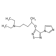 CCN(CC)CCCC(C)Oc1nsnc1-n1ccnc1